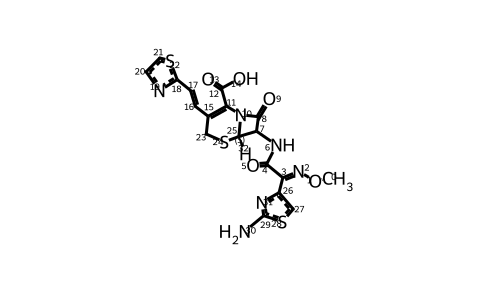 CON=C(C(=O)NC1C(=O)N2C(C(=O)O)=C(C=Cc3nccs3)CS[C@@H]12)c1csc(N)n1